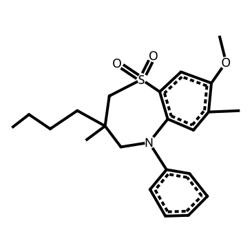 CCCCC1(C)CN(c2ccccc2)c2cc(C)c(OC)cc2S(=O)(=O)C1